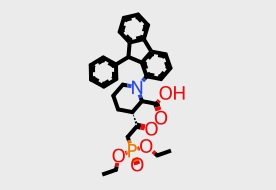 CCOP(=O)(CC(=O)[C@@H]1CCCN(c2cccc3c2C(c2ccccc2)c2ccccc2-3)C1C(=O)O)OCC